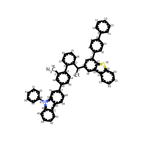 CCC(c1cc(-c2ccc(-c3ccccc3)cc2)c2sc3ccccc3c2c1)c1ccccc1-c1ccc(-c2ccc3c4ccccc4n(-c4ccccc4)c3c2)cc1C